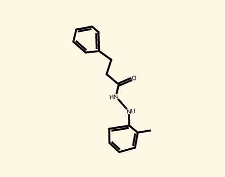 Cc1ccccc1NNC(=O)CCc1ccccc1